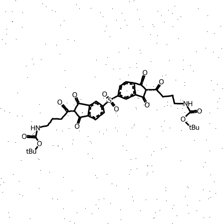 CC(C)(C)OC(=O)NCCCC(=O)C1C(=O)c2ccc(S(=O)(=O)c3ccc4c(c3)C(=O)C(C(=O)CCCNC(=O)OC(C)(C)C)C4=O)cc2C1=O